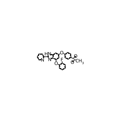 CS(=O)(=O)c1ccc(Oc2cc(Oc3ccccc3F)c3nc(-c4ccccn4)[nH]c3c2)cc1